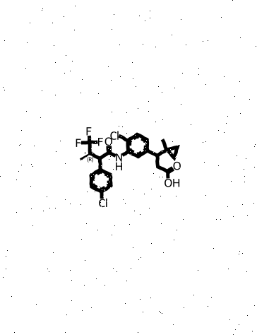 C[C@H](C(C(=O)Nc1cc(C(CC(=O)O)C2(C)CC2)ccc1Cl)c1ccc(Cl)cc1)C(F)(F)F